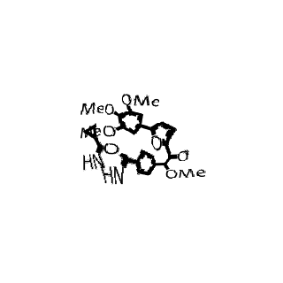 COc1cc(-c2ccc(C(=O)C(OC)c3ccc(C(=N)OC(=N)C4CC4)cc3)o2)cc(OC)c1OC